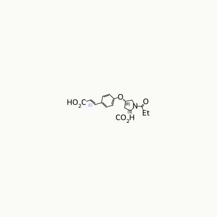 CCC(=O)N1C[C@H](Oc2ccc(/C=C/C(=O)O)cc2)C[C@H]1C(=O)O